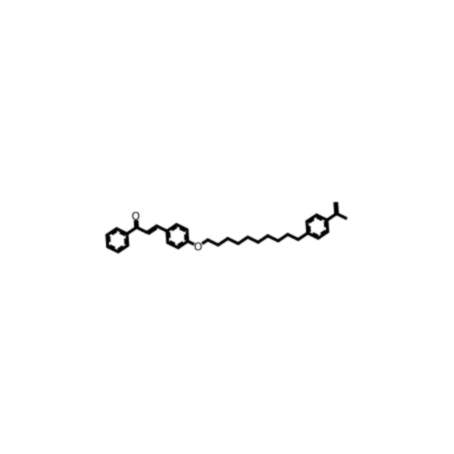 C=C(C)c1ccc(CCCCCCCCCCOc2ccc(/C=C/C(=O)c3ccccc3)cc2)cc1